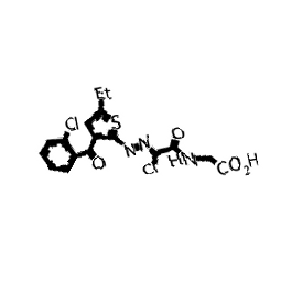 CCc1cc(C(=O)c2ccccc2Cl)c(/N=N/C(Cl)C(=O)NCC(=O)O)s1